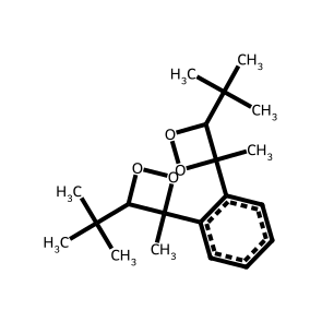 CC(C)(C)C1OOC1(C)c1ccccc1C1(C)OOC1C(C)(C)C